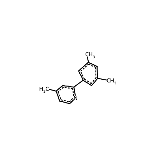 Cc1cc(C)cc(-c2cc(C)ccn2)c1